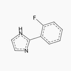 Fc1ccccc1-c1ncc[nH]1